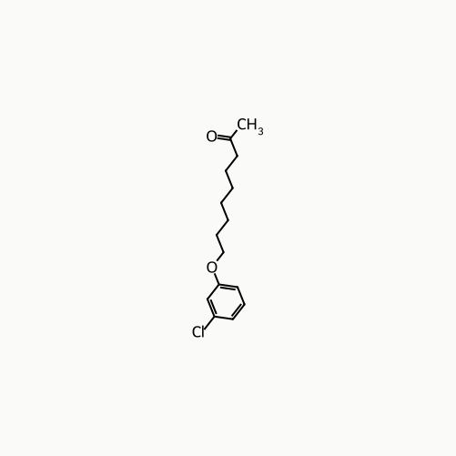 CC(=O)CCCCCCCOc1cccc(Cl)c1